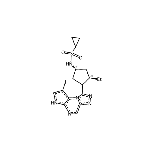 CC[C@@H]1C[C@H](NS(=O)(=O)C2CC2)CC1c1nnc2cnc3[nH]cc(I)c3n12